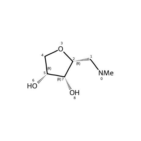 CNC[C@H]1OC[C@@H](O)[C@H]1O